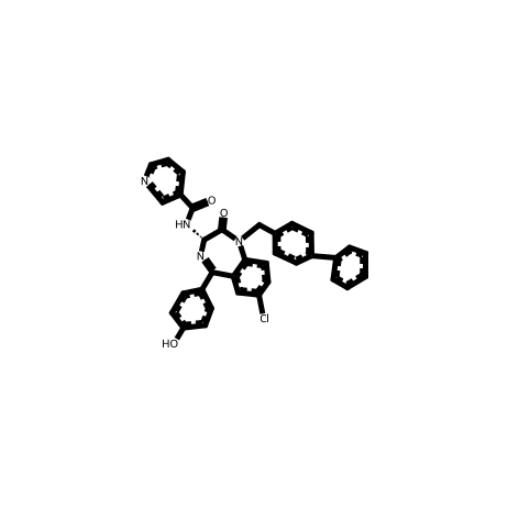 O=C(N[C@H]1N=C(c2ccc(O)cc2)c2cc(Cl)ccc2N(Cc2ccc(-c3ccccc3)cc2)C1=O)c1cccnc1